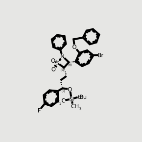 CC(C)(C)[Si](C)(C)O[C@@H](CC[C@H]1[C@@H](c2ccc(Br)cc2OCc2ccccc2)N(c2ccccc2)S1(=O)=O)c1ccc(F)cc1